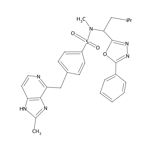 Cc1nc2c(Cc3ccc(S(=O)(=O)N(C)C(CC(C)C)c4nnc(-c5ccccc5)o4)cc3)nccc2[nH]1